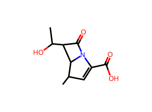 CC(O)C1C(=O)N2C(C(=O)O)=CC(C)C12